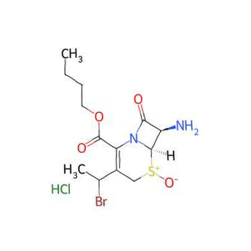 CCCCOC(=O)C1=C(C(C)Br)C[S+]([O-])[C@@H]2[C@H](N)C(=O)N12.Cl